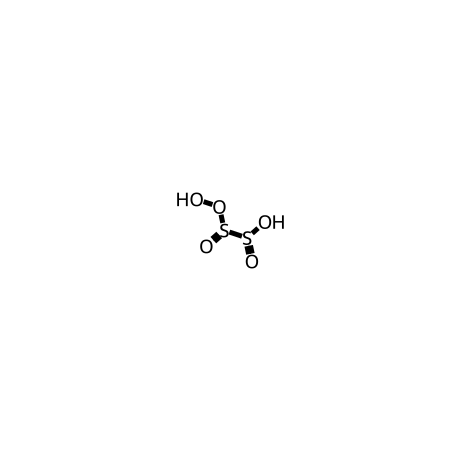 O=S(O)S(=O)OO